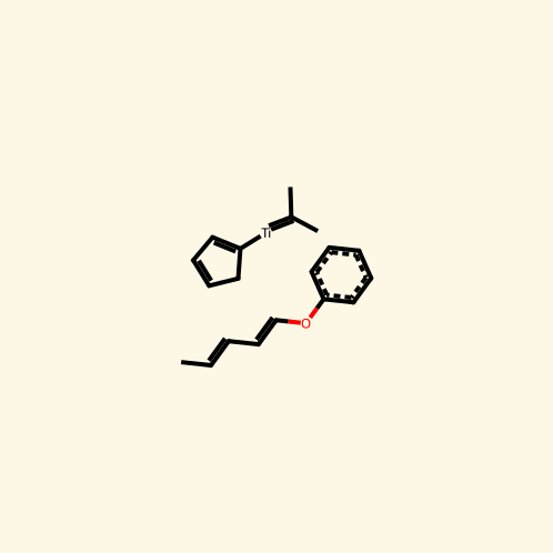 CC=CC=COc1ccccc1.C[C](C)=[Ti][C]1=CC=CC1